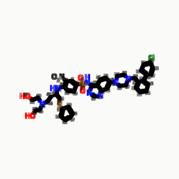 O=[N+]([O-])c1cc(S(=O)(=O)Nc2ncnc3cc(N4CCN(Cc5ccccc5-c5ccc(Cl)cc5)CC4)ccc23)ccc1N[C@H](CCN(CCO)CCO)CSc1ccccc1